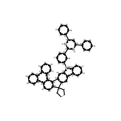 CCC1(CC)c2cc3c4ccccc4n(-c4cccc(-c5nc(-c6ccccc6)cc(-c6ccccc6)n5)c4)c3cc2-c2c1ccc1c3ccccc3c3ccccc3c21